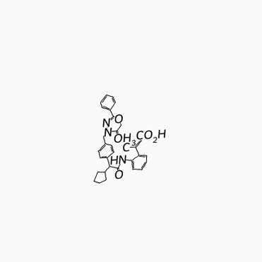 C/C(=C\C(=O)O)c1ccccc1NC(=O)C(c1ccc(CN2N=C(c3ccccc3)OCC2=O)cc1)C1CCCC1